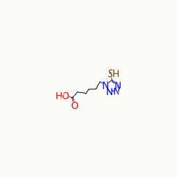 O=C(O)CCCCCn1nnnc1S